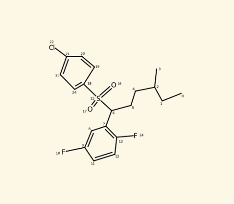 CCC(C)CCC(c1cc(F)ccc1F)S(=O)(=O)c1ccc(Cl)cc1